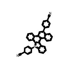 N#Cc1ccc(-c2cc3c4ccccc4c4c(c5ccccc5n4C4=CCC(C#N)C=C4)c3c3ccccc23)cc1